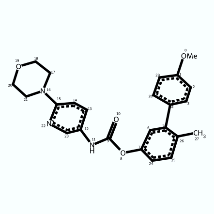 COc1ccc(-c2cc(OC(=O)Nc3ccc(N4CCOCC4)nc3)ccc2C)cc1